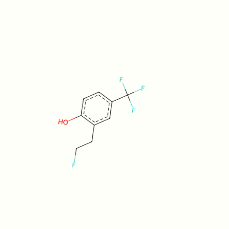 Oc1ccc(C(F)(F)F)cc1CCF